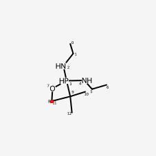 CCN[PH](NCC)(OC)C(C)(C)C